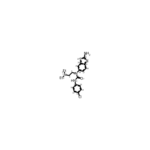 CCN(CC)CCN(C(=O)Nc1ccc(Cl)cc1)c1ccc2nc(N)sc2c1